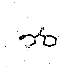 C#CCC(CC#N)N(CC)C1CCCCC1